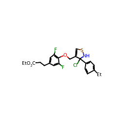 CCOC(=O)CCc1cc(F)c(OCC2=CSNC2(Cl)c2ccc(CC)cc2)c(F)c1